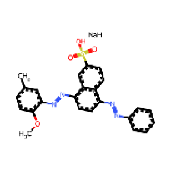 COc1ccc(C)cc1N=Nc1ccc(N=Nc2ccccc2)c2ccc(S(=O)(=O)O)cc12.[NaH]